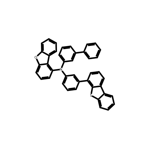 c1ccc(-c2cccc(N(c3cccc(-c4cccc5c4sc4ccccc45)c3)c3cccc4oc5ccccc5c34)c2)cc1